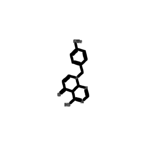 COc1ccc(CN2C=CC(=O)C3C(O)=NC=NC32)cc1